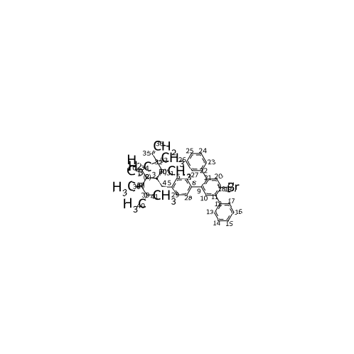 C=C[C@@H](C(Cc1ccc(-c2cc(-c3ccccc3)c(Br)cc2-c2ccccc2)cc1)[C@@H](C)C(C)(C)C=C)[C@H](C)C(C)C